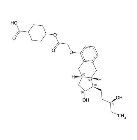 CC[C@H](O)CC[C@@H]1[C@H]2Cc3cccc(OCC(=O)OC4CCC(C(=O)O)CC4)c3C[C@H]2C[C@H]1O